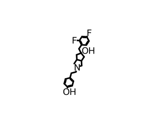 Oc1ccc(CCN2CC3CC(O)(Cc4ccc(F)cc4F)CC3C2)cc1